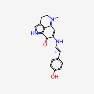 C[N+]1=C2C=C(N/C=C/c3ccc(O)cc3)C(=O)c3[nH]cc(c32)CC1